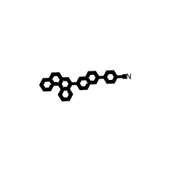 N#Cc1ccc(-c2ccc3cc(-c4cc5ccc6ccccc6c5c5ccccc45)ccc3c2)cc1